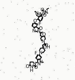 C=NCc1c(NS(=O)(=O)N(C)CC)ccc(F)c1Oc1ccc2ncn([C@H]3COC4(CCN(C(=O)CC5(O)CCN(c6cc7c(cc6F)c(N6CCC(=O)NC6=O)nn7C)CC5)CC4)C3)c(=O)c2c1